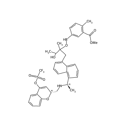 COC(=O)c1cc(BOC(C)(Cc2cccc3c([C@@H](C)NC[C@H]4C=C(OS(=O)(=O)C(F)(F)F)c5ccccc5O4)cccc23)C(C)O)ccc1C